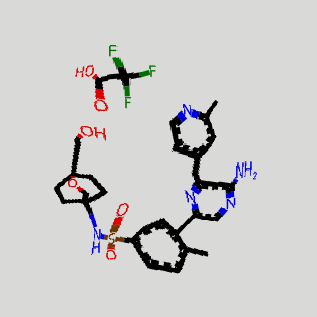 Cc1cc(-c2nc(-c3cc(S(=O)(=O)NC45CCC(CO)(CC4)OC5)ccc3C)cnc2N)ccn1.O=C(O)C(F)(F)F